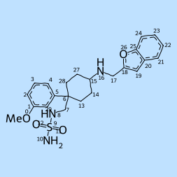 COc1cccc(C2(CNS(N)(=O)=O)CCC(NCc3cc4ccccc4o3)CC2)c1